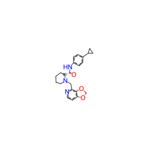 O=C(Nc1ccc(C2CC2)cc1)[C@H]1CCCCN1Cc1nccc2c1OCO2